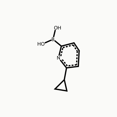 OB(O)c1cccc(C2CC2)n1